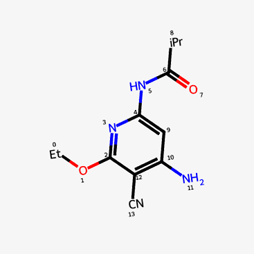 CCOc1nc(NC(=O)C(C)C)cc(N)c1C#N